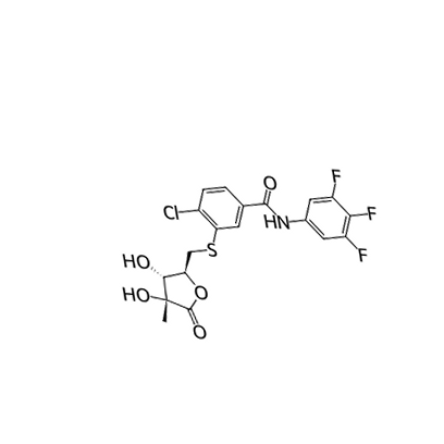 C[C@]1(O)C(=O)O[C@H](CSc2cc(C(=O)Nc3cc(F)c(F)c(F)c3)ccc2Cl)[C@H]1O